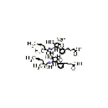 CC#CCC(C)[C@H](O)/C=C/[C@@H]1[C@H]2c3cccc(CCCC(=O)O)c3O[C@H]2C[C@H]1O.CC#CCC(C)[C@H](O)/C=C/[C@@H]1[C@H]2c3cccc(CCCC(=O)[O-])c3O[C@H]2C[C@H]1O.[Na+]